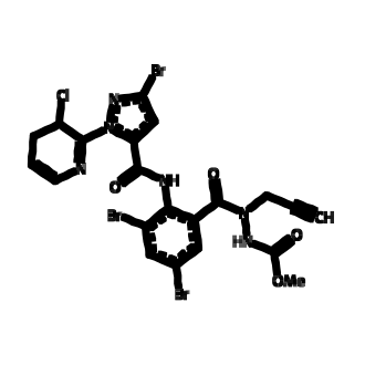 C#CCN(NC(=O)OC)C(=O)c1cc(Br)cc(Br)c1NC(=O)c1cc(Br)nn1C1=NC=CCC1Cl